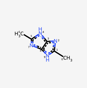 Cc1nc2[nH]c(C)nc2[nH]1